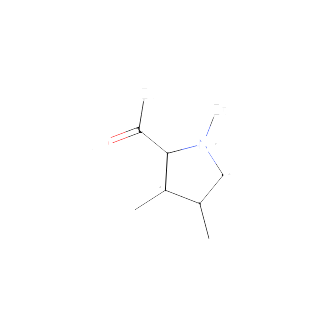 CCC(=O)C1C(C)C(C)CN1CC